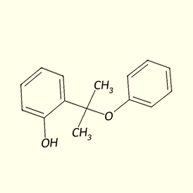 CC(C)(Oc1ccccc1)c1ccccc1O